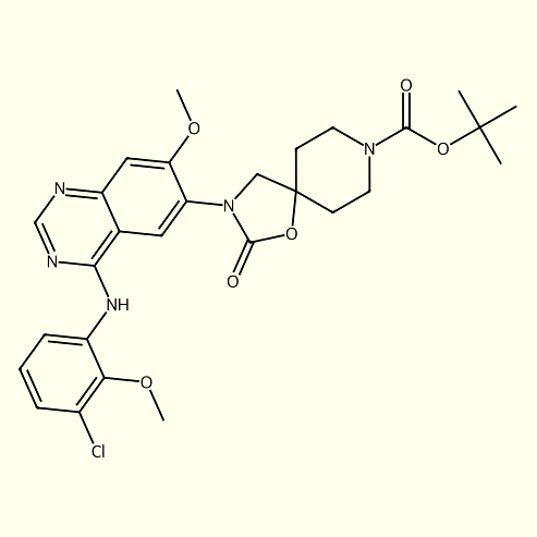 COc1cc2ncnc(Nc3cccc(Cl)c3OC)c2cc1N1CC2(CCN(C(=O)OC(C)(C)C)CC2)OC1=O